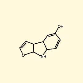 OC1=CC2C(C=C1)NC1OC=CC12